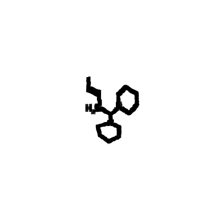 CC=C[SiH2]C(N1CCCCC1)N1CCCCC1